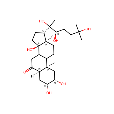 CC(C)(O)CC[C@@H](O)C(C)(O)[C@H]1CC[C@@]2(O)C3CC(=O)[C@@H]4C[C@@H](O)[C@@H](O)C[C@]4(C)C3CC[C@]12C